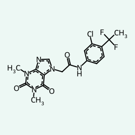 Cn1c(=O)c2c(ncn2CC(=O)Nc2ccc(C(C)(F)F)c(Cl)c2)n(C)c1=O